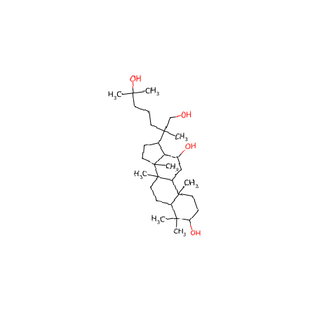 CC(C)(O)CCCC(C)(CO)C1CCC2(C)C1C(O)CC1C3(C)CCC(O)C(C)(C)C3CCC12C